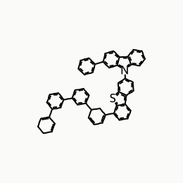 C1=CC(c2cccc(-c3cccc(C4=CCCC=C4)c3)c2)CC(c2cccc3c2sc2cc(-n4c5ccccc5c5ccc(-c6ccccc6)cc54)ccc23)=C1